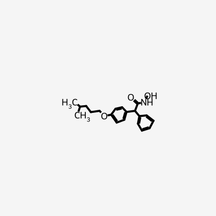 CC(C)CCCOc1ccc(C(C(=O)NO)c2ccccc2)cc1